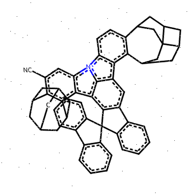 N#Cc1cc2c(c3c1C1CC4CC(C1)CC3C4)c1c3c(cc4c5c6c(ccc5n2c41)C1CC2CC4CC6CC24C1)-c1ccccc1C31c2ccccc2-c2ccccc21